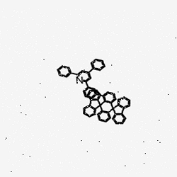 c1ccc(-c2cc(-c3ccccc3)nc(-c3cccc(-c4cccc5c4C4(c6ccccc6-c6ccccc64)c4ccccc4C54c5ccccc5-c5ccccc54)c3)c2)cc1